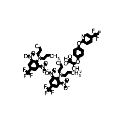 CCCN(CCCl)c1c([N+](=O)[O-])cc(C(F)(F)F)cc1[N+](=O)[O-].CCCN(CCCl)c1c([N+](=O)[O-])cc(C(F)(F)F)cc1[N+](=O)[O-].C[C@@H](Oc1ccc(Oc2ccc(C(F)(F)F)cn2)cc1)C(=O)O